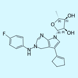 C[C@H]1O[C@@H](n2cc(C3=CCCC3)c3c2N=CN(Nc2ccc(F)cc2)C3)[C@H](O)[C@@H]1O